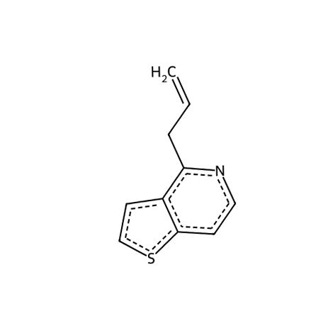 C=CCc1nccc2sccc12